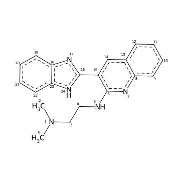 CN(C)CCNc1nc2ccccc2cc1-c1nc2ccccc2[nH]1